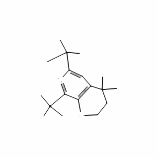 CC(C)(C)c1cc2c(c(C(C)(C)C)n1)OCCC2(C)C